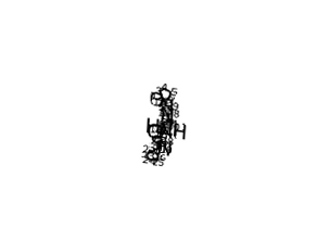 COc1ccccc1N1CCN(CCNC(=O)c2cnc(-c3ccccc3)s2)CC1.Cl